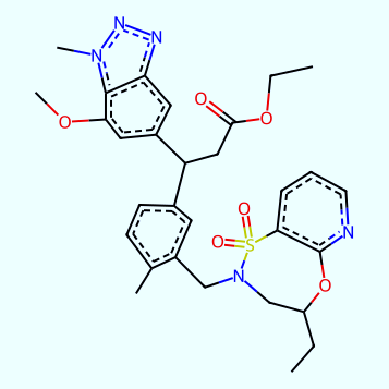 CCOC(=O)CC(c1ccc(C)c(CN2CC(CC)Oc3ncccc3S2(=O)=O)c1)c1cc(OC)c2c(c1)nnn2C